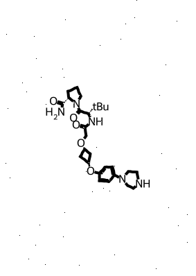 CC(C)(C)[C@H](NC(=O)CO[C@H]1C[C@H](Oc2ccc(N3CCNCC3)cc2)C1)C(=O)N1CCC[C@H]1C(N)=O